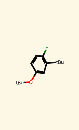 CC(C)(C)Oc1ccc(F)c(C(C)(C)C)c1